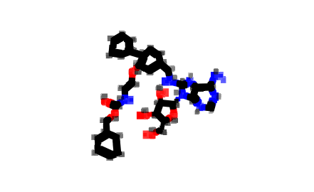 Nc1ncnc2c1nc(NCc1ccc(-c3ccccc3)c(OCCNC(=O)OCc3ccccc3)c1)n2[C@@H]1O[C@H](CO)[C@@H](O)[C@H]1O